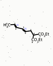 C/C=C/C=C/CC(C(=O)OCC)C(=O)OCC